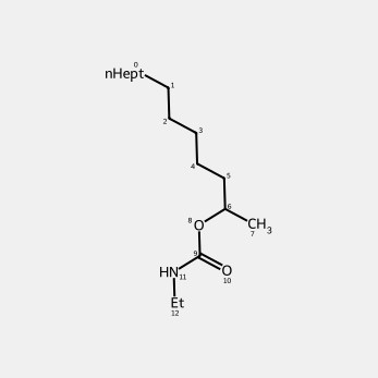 CCCCCCCCCCCCC(C)OC(=O)NCC